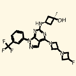 C[C@]1(O)C[C@@H](Nc2nc(N3CC(N4CC(F)C4)C3)c3cnn(-c4cccc(C(F)(F)F)c4)c3n2)C1